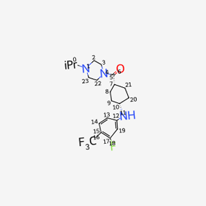 CC(C)N1CCN(C(=O)[C@H]2CC[C@@H](Nc3ccc(C(F)(F)F)c(F)c3)CC2)CC1